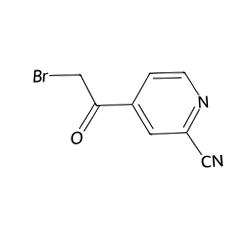 N#Cc1cc(C(=O)CBr)ccn1